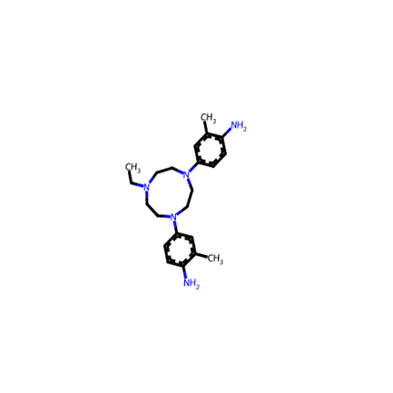 CCN1CCN(c2ccc(N)c(C)c2)CCN(c2ccc(N)c(C)c2)CC1